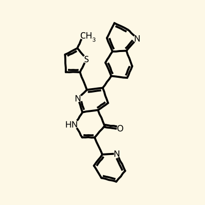 Cc1ccc(-c2nc3[nH]cc(-c4ccccn4)c(=O)c3cc2-c2ccc3ncccc3c2)s1